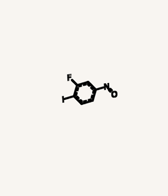 O=Nc1ccc(I)c(F)c1